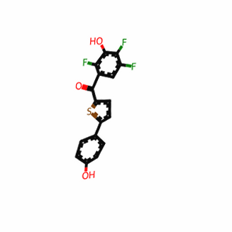 O=C(c1ccc(-c2ccc(O)cc2)s1)c1cc(F)c(F)c(O)c1F